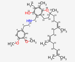 COc1ccc(CCNCc2c(O)c(C)c(C)c3c2CCC(C)(CCC=C(C)CCC=C(C)CCC=C(C)C)O3)cc1OC